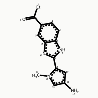 CCC(=O)c1ccc2[nH]c(-c3cc(N)cn3C)nc2c1